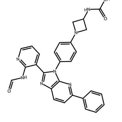 O=CNc1ncccc1-c1nc2ccc(-c3ccccc3)nc2n1-c1ccc(N2CC(NC(=O)O)C2)cc1